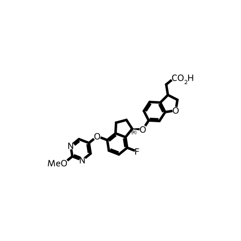 COc1ncc(Oc2ccc(F)c3c2CC[C@H]3Oc2ccc3c(c2)OCC3CC(=O)O)cn1